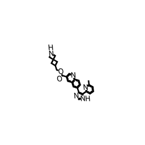 Cc1cccc(-c2[nH]cnc2-c2ccc3ncc(C(=O)OCC4CC5(CNC5)C4)cc3c2)n1